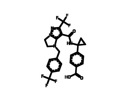 O=C(O)c1ccc(C2(NC(=O)c3c(C(F)(F)F)nn4c3N(Cc3ccc(C(F)(F)F)cc3)CC4)CC2)cc1